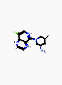 C[C@H]1C[C@@H](N)CN(c2ncc(F)c3nccnc23)C1